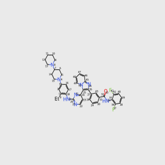 CCc1cc(N2CCC(N3CCCCC3)CC2)ccc1Nc1nccc(-c2c(-c3cccc(C(=O)Nc4c(F)cccc4F)c3)nc3ccccn23)n1